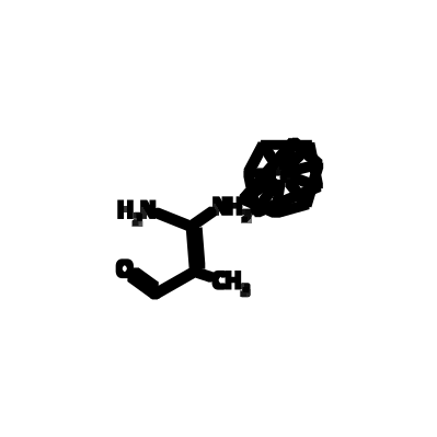 CC(C=O)=C(N)N.[CH]12[CH]3[CH]4[CH]5[CH]1[Fe]23451678[CH]2[CH]1[CH]6[CH]7[CH]28